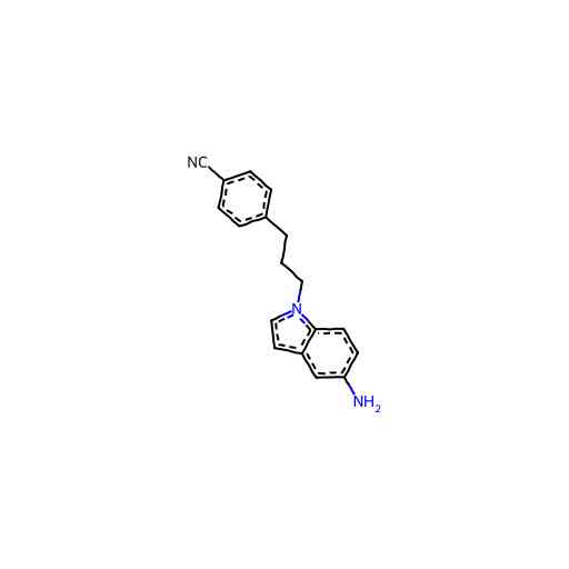 N#Cc1ccc(CCCn2ccc3cc(N)ccc32)cc1